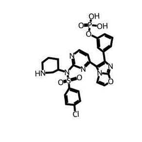 O=P(O)(O)Oc1cccc(-c2nc3occn3c2-c2ccnc(N(C3CCCNC3)S(=O)(=O)c3ccc(Cl)cc3)n2)c1